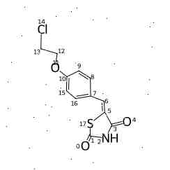 O=C1NC(=O)C(=Cc2ccc(OCCCl)cc2)S1